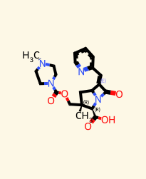 CN1CCN(C(=O)OC[C@]2(C)CC3/C(=C\c4ccccn4)C(=O)N3[C@H]2C(=O)O)CC1